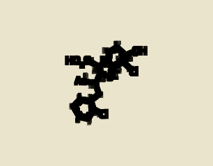 CC(=O)N(Cc1ccccc1Cl)c1sc2c(Cl)c(O)ccc2c1C(=O)O